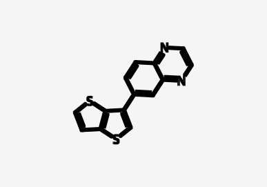 c1cnc2cc(-c3csc4ccsc34)ccc2n1